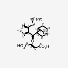 CCCCCSc1nsnc1C(=O)C1CN2CCC1CC2.O=C(O)C=CC(=O)O